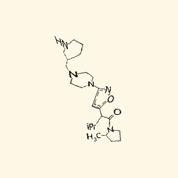 CC(C)C(C(=O)N1CCCC1C)c1cc(N2CCN(CC3CCCNC3)CC2)no1